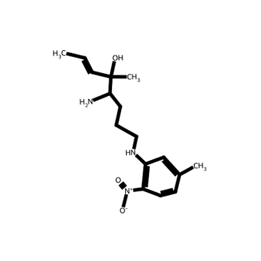 C/C=C/C(C)(O)C(N)CCCNc1cc(C)ccc1[N+](=O)[O-]